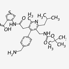 Cc1nc(CC(C)C)c(CNC(=O)OC(C)(C)C)c(-c2ccc(CN)cc2)c1CC(=O)Nc1cscc1C(=O)O